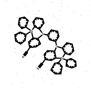 N#Cc1ccc2c(c1)[Si](c1ccccc1)(c1ccccc1)c1ccccc1N2c1cccc(N2c3ccccc3[Si](c3ccccc3)(c3ccccc3)c3cc(C#N)ccc32)c1